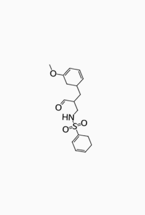 COC1=CC=CC(CC(C=O)CNS(=O)(=O)C2=CC=CCC2)C1